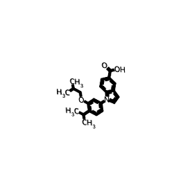 CC(C)COc1cc(-n2ccc3cc(C(=O)O)ccc32)ccc1C(C)C